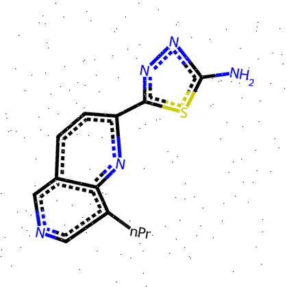 CCCc1cncc2ccc(-c3nnc(N)s3)nc12